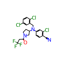 N#Cc1ccc(N(Cc2cc(Cl)ccc2Cl)C2CCN(C(=O)CC(F)(F)F)C2)cc1Cl